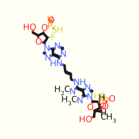 C=N/C(NC/C=C/CNc1ncnc2c1ncn2C1OC(CO)[C@@H](O[PH](=O)S)[C@H]1F)=C1/N=CN(C2OC3(CO)[C@H](C)O[C@@H]2[C@@H]3O[PH](=O)S)/C1=N/C